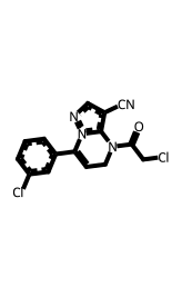 N#Cc1cnn2c1N(C(=O)CCl)CC=C2c1cccc(Cl)c1